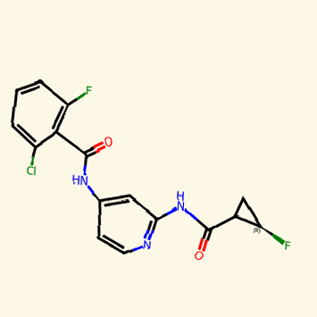 O=C(Nc1ccnc(NC(=O)C2C[C@H]2F)c1)c1c(F)cccc1Cl